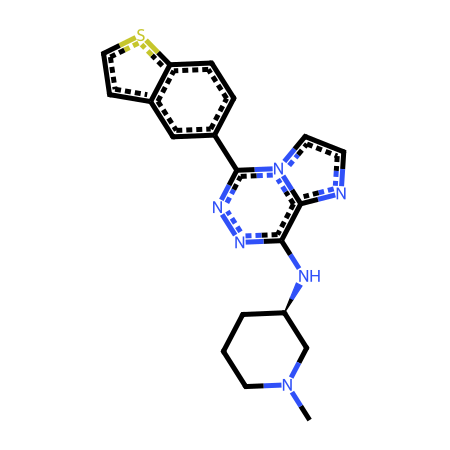 CN1CCC[C@@H](Nc2nnc(-c3ccc4sccc4c3)n3ccnc23)C1